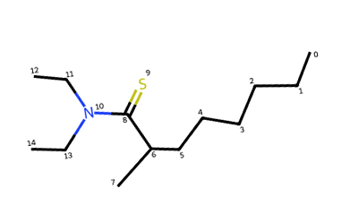 CCCCCCC(C)C(=S)N(CC)CC